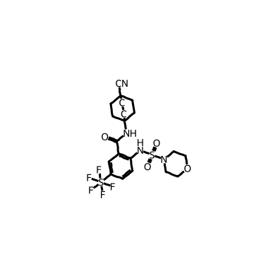 N#CC12CCC(NC(=O)c3cc(S(F)(F)(F)(F)F)ccc3NS(=O)(=O)N3CCOCC3)(CC1)CC2